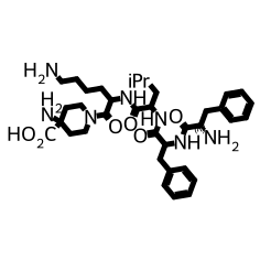 CC(C)CC(NC(=O)C(Cc1ccccc1)NC(=O)[C@H](N)Cc1ccccc1)C(=O)NC(CCCCN)C(=O)N1CCC(N)(C(=O)O)CC1